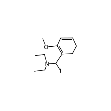 CCN(CC)C(I)C1=C(OC)C=CCC1